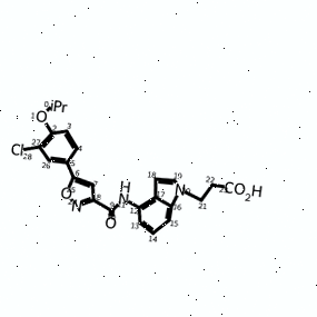 CC(C)Oc1ccc(-c2cc(C(=O)Nc3cccc4c3ccn4CCC(=O)O)no2)cc1Cl